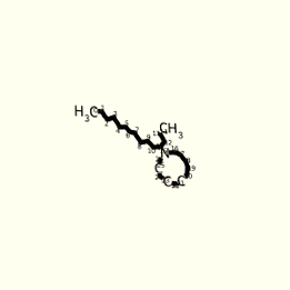 CCCCCCCCCCCC(CCC)N1CCCCCCCCCCC1